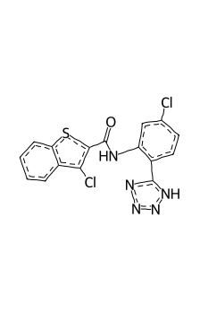 O=C(Nc1cc(Cl)ccc1-c1nnn[nH]1)c1sc2ccccc2c1Cl